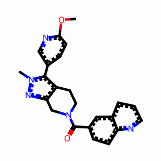 COc1ccc(-c2c3c(nn2C)CN(C(=O)c2ccc4ncccc4c2)CC3)cn1